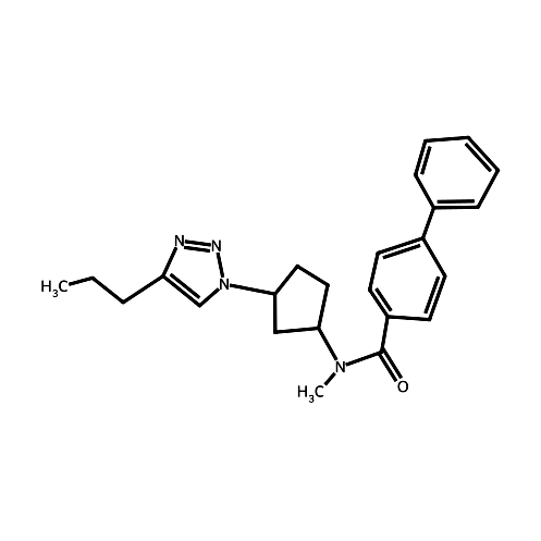 CCCc1cn(C2CCC(N(C)C(=O)c3ccc(-c4ccccc4)cc3)C2)nn1